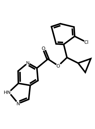 O=C(OC(c1ccccc1Cl)C1CC1)c1cc2cn[nH]c2cn1